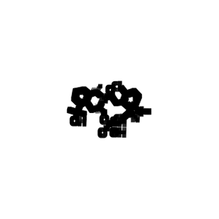 C[C@H]1c2cccc(C(C)(C)O)c2C[C@H](COP(=O)(O)O)N1C(=O)Cc1c(Cl)ccc2c1c(Cl)nn2C